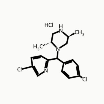 C[C@@H]1CN[C@@H](C)CN1C(c1ccc(Cl)cc1)c1ccc(Cl)cn1.Cl